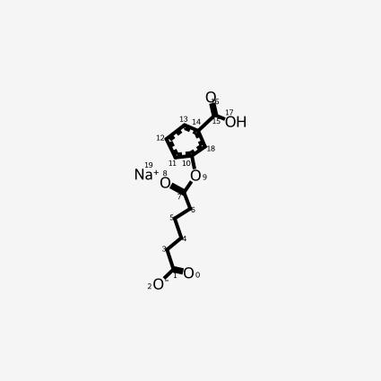 O=C([O-])CCCCC(=O)Oc1cccc(C(=O)O)c1.[Na+]